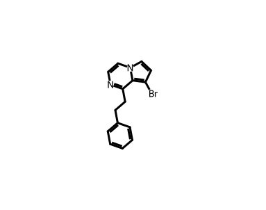 Brc1ccn2ccnc(CCc3ccccc3)c12